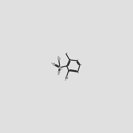 Cc1cccc(Br)c1S(=O)(=O)Cl